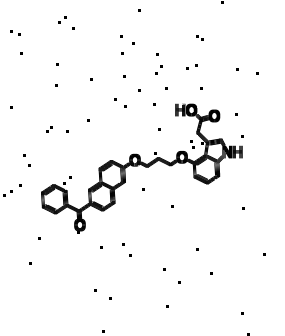 O=C(O)Cc1c[nH]c2cccc(OCCCOc3ccc4cc(C(=O)c5ccccc5)ccc4c3)c12